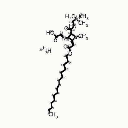 CCCCCCCCCCCCCCCCOC(=O)C=C1C(N=CC(=O)O)C(C(=O)NC[N+](C)(C)C)N1C.I.[I-]